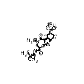 CN(C)C=NC(=O)C1CN(C)C(=O)c2c3c(nn2C1)CCN(C(=O)OC(C)(C)C)C3